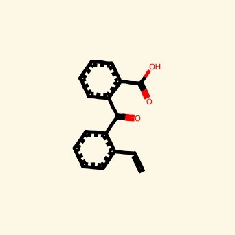 C=Cc1ccccc1C(=O)c1ccccc1C(=O)O